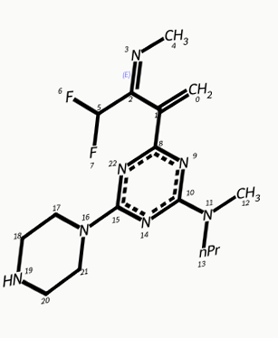 C=C(/C(=N\C)C(F)F)c1nc(N(C)CCC)nc(N2CCNCC2)n1